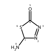 NC1N=NC(=O)S1